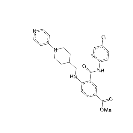 COC(=O)c1ccc(NCC2CCN(c3ccncc3)CC2)c(C(=O)Nc2ccc(Cl)cn2)c1